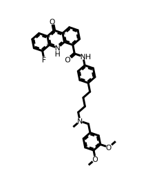 COc1ccc(CN(C)CCCCc2ccc(NC(=O)c3cccc4c(=O)c5cccc(F)c5[nH]c34)cc2)cc1OC